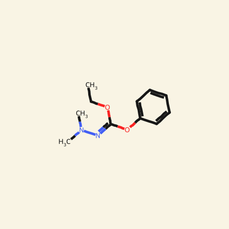 CCOC(=NN(C)C)Oc1ccccc1